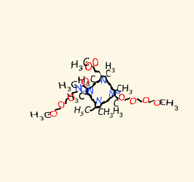 CCC1=C(C)c2cc3[nH]c(cc4nc(c(C)c5[nH]c(cc1n2)c(C)c5C(=O)N(C)CCOCCOCCOC)[C@@H](CCC(=O)OC)[C@@H]4C)c(C)c3C(C)OCCOCCOCCOC